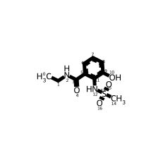 CCNC(=O)c1cccc(O)c1NS(C)(=O)=O